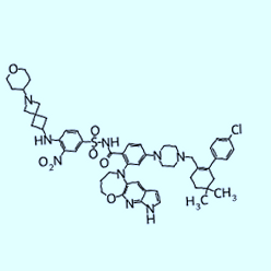 CC1(C)CCC(CN2CCN(c3ccc(C(=O)NS(=O)(=O)c4ccc(NC5CC6(C5)CN(C5CCOCC5)C6)c([N+](=O)[O-])c4)c(N4CCCOc5nc6[nH]ccc6cc54)c3)CC2)=C(c2ccc(Cl)cc2)C1